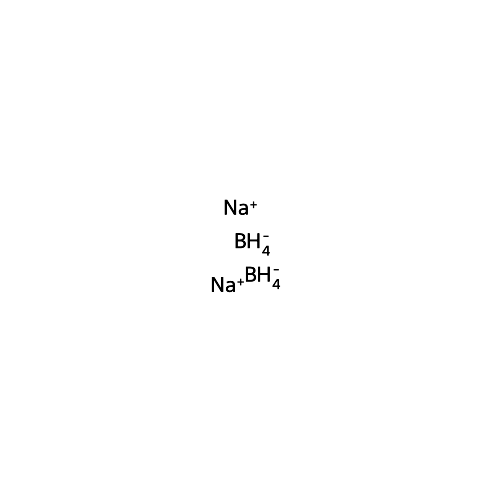 [BH4-].[BH4-].[Na+].[Na+]